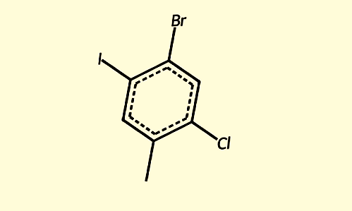 Cc1cc(I)c(Br)cc1Cl